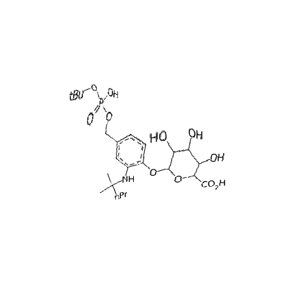 CCCC(C)(C)Nc1cc(COP(=O)(O)OC(C)(C)C)ccc1OC1OC(C(=O)O)C(O)C(O)C1O